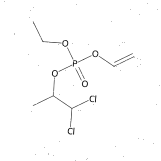 C=COP(=O)(OCC)OC(C)C(Cl)Cl